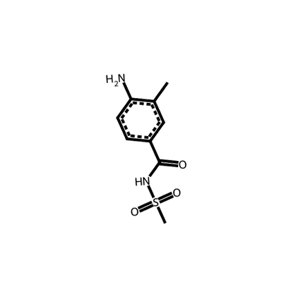 Cc1cc(C(=O)NS(C)(=O)=O)ccc1N